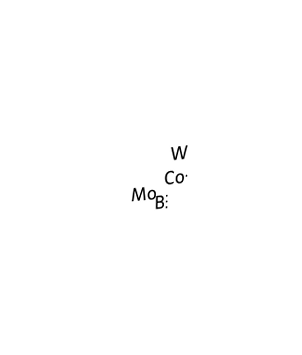 [B].[Co].[Mo].[W]